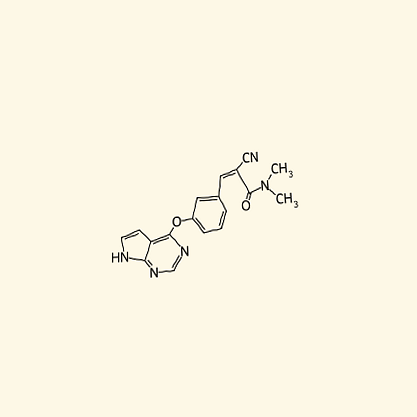 CN(C)C(=O)C(C#N)=Cc1cccc(Oc2ncnc3[nH]ccc23)c1